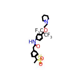 CC(c1ccc(CC(=O)Nc2ccc(C(OCCN3CCCCC3)(C(F)(F)F)C(F)(F)F)cc2)cc1)[SH](=O)=O